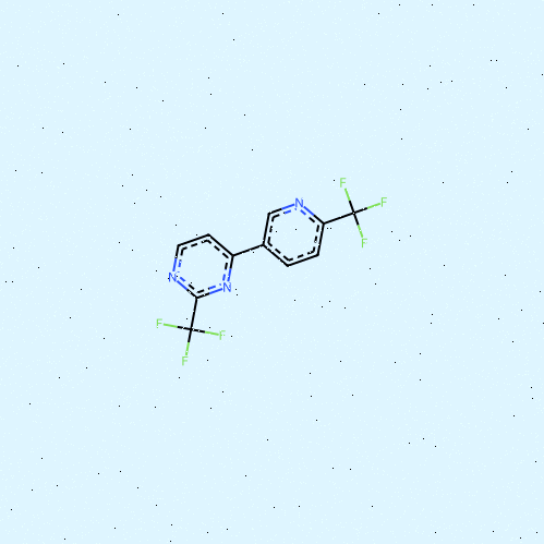 FC(F)(F)c1ccc(-c2ccnc(C(F)(F)F)n2)cn1